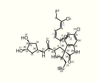 C=C(/C=C\C=C(\Cl)CF)[C@H]1[C@H](C(=O)N[C@H]2C[C@@H](O)[C@@H](O)C2)N[C@H](CC(C)(C)C)[C@]12C(=O)Nc1cc(Cl)ccc12